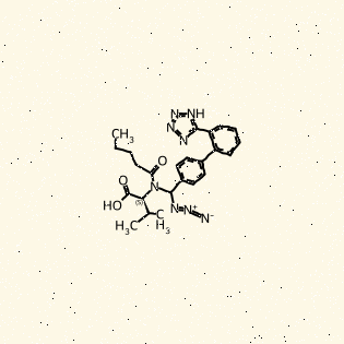 CCCCC(=O)N(C(N=[N+]=[N-])c1ccc(-c2ccccc2-c2nnn[nH]2)cc1)[C@H](C(=O)O)C(C)C